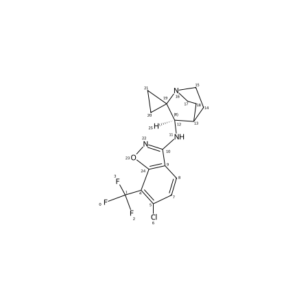 FC(F)(F)c1c(Cl)ccc2c(N[C@@H]3C4CCN(CC4)C34CC4)noc12